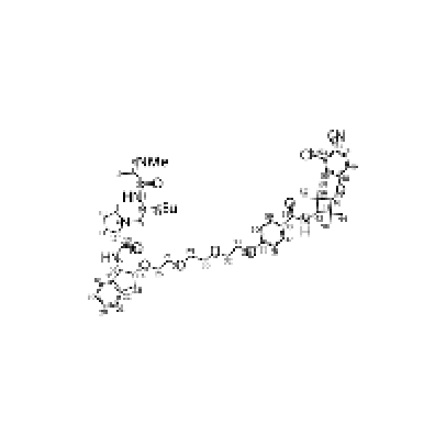 CN[C@@H](C)C(=O)N[C@H](CN1CCC[C@H]1C(=O)N[C@H]1c2ccccc2C[C@H]1OCCOCCOCCOc1ccc(C(=O)NC2C(C)(C)C(Oc3ccc(C#N)c(Cl)c3)C2(C)C)cc1)C(C)(C)C